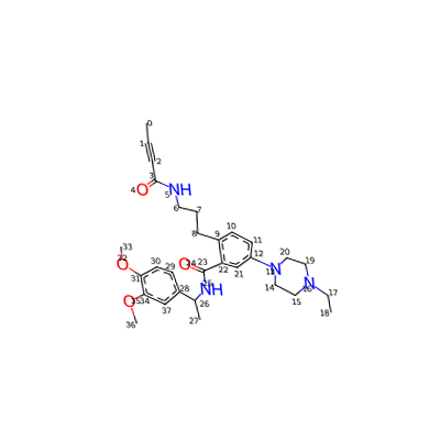 CC#CC(=O)NCCCc1ccc(N2CCN(CC)CC2)cc1C(=O)NC(C)c1ccc(OC)c(OC)c1